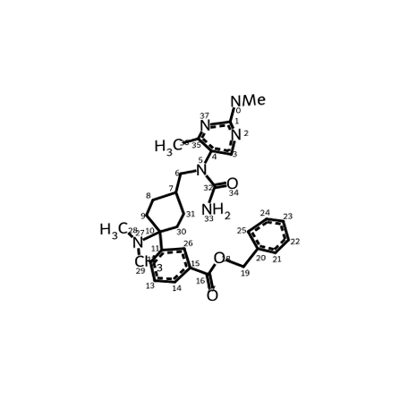 CNc1ncc(N(CC2CCC(c3cccc(C(=O)OCc4ccccc4)c3)(N(C)C)CC2)C(N)=O)c(C)n1